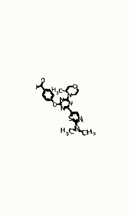 C[C@H]1COCCN1c1nc(Oc2ccc(C(=O)I)cc2)nc(-c2cnc(N(C)C)s2)n1